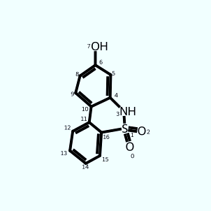 O=S1(=O)Nc2cc(O)ccc2-c2ccccc21